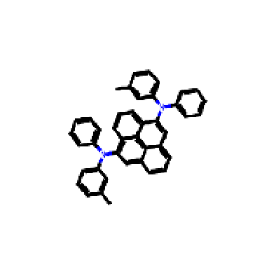 Cc1cccc(N(c2ccccc2)c2cc3cccc4cc(N(c5ccccc5)c5cccc(C)c5)c5cccc2c5c34)c1